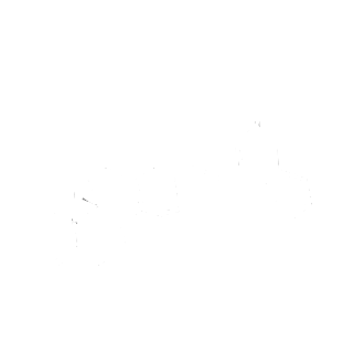 CN1C(=O)CC[C@]2(C)c3ccc(/C=C/c4cncc5ccccc45)cc3CC[C@@H]12